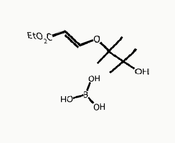 CCOC(=O)C=COC(C)(C)C(C)(C)O.OB(O)O